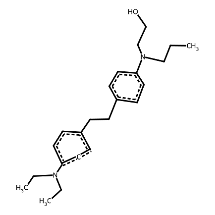 CCCN(CCO)c1ccc(CCc2ccc(N(CC)CC)cc2)cc1